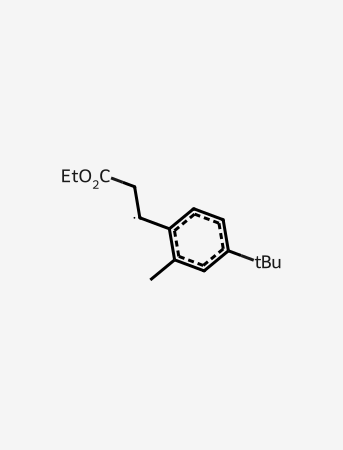 CCOC(=O)C[CH]c1ccc(C(C)(C)C)cc1C